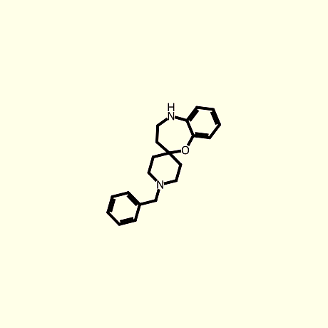 c1ccc(CN2CCC3(CCNc4ccccc4O3)CC2)cc1